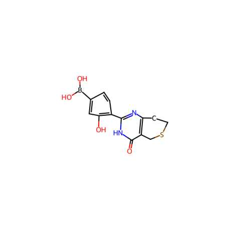 O=c1[nH]c(-c2ccc(B(O)O)cc2O)nc2c1CSCC2